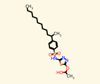 CCCCCCCCCCC(C)c1ccc(S(=O)(=O)Nc2nnc(OC(C)O)s2)cc1